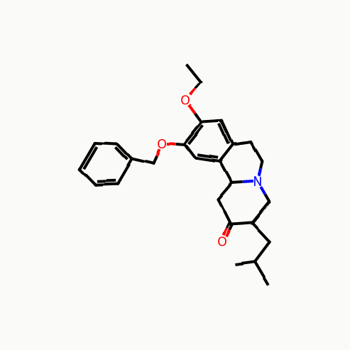 CCOc1cc2c(cc1OCc1ccccc1)C1CC(=O)C(CC(C)C)CN1CC2